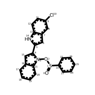 O=S(On1c(-c2cc3cc(Cl)ccc3[nH]2)cc2ccccc21)c1ccccc1